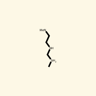 CNCCNC[SiH2]C